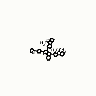 CC1(C)c2ccccc2-c2ccc(-c3cc4c(-c5ccc6c(c5)C(C)(C)c5ccccc5-6)cc(-c5ccc(-c6ccccn6)cc5)nc4c4ccccc34)cc21